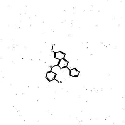 CCOc1ccc2nc(-c3cccnc3)nc(Nc3cccc(C#N)c3)c2c1